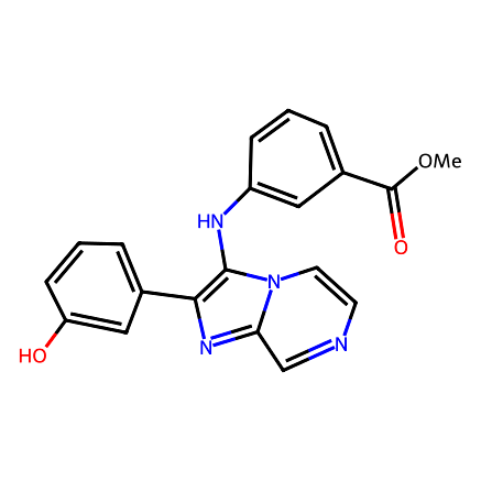 COC(=O)c1cccc(Nc2c(-c3cccc(O)c3)nc3cnccn23)c1